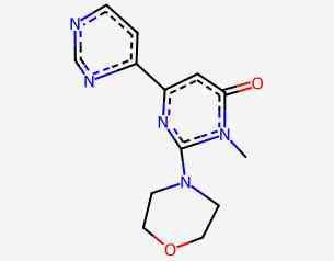 Cn1c(N2CCOCC2)nc(-c2ccncn2)cc1=O